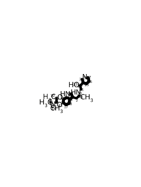 C[C@H](Cc1c[nH]c2c(O[C@@H](C)C(=O)N(C)C)cccc12)NC[C@H](O)c1cccnc1